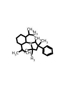 CC(C)C1CCCC(C(C)C)C1N1C(C)C(C)(c2ccccc2)CC1(C)C